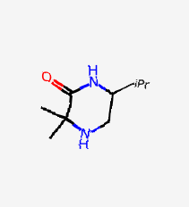 CC(C)C1CNC(C)(C)C(=O)N1